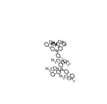 CC1(C)c2ccccc2-c2ccc(N(c3ccc(C4(C)c5ccc(N(c6ccc7c(c6)C(C)(C)c6ccccc6-7)c6ccc7c(c6)C(C)(C)c6ccccc6-7)cc5CC4(C)C)cc3)c3ccc4c(c3)C(C)(C)c3ccccc3-4)cc21